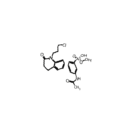 CC(=O)Nc1cccc([As](=O)(O)OO)c1.O=C1CCc2ccccc2N1CCCCl